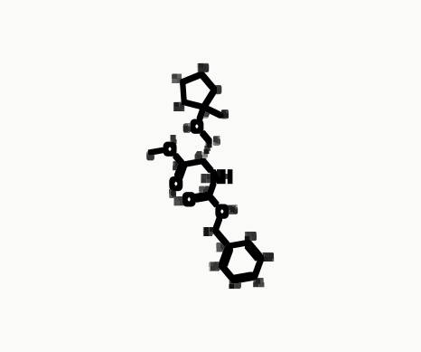 COC(=O)[C@H](COC1(C)CCCC1)NC(=O)OCc1ccccc1